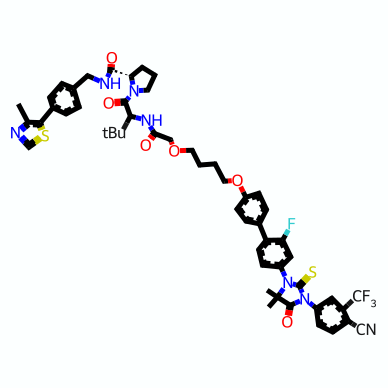 Cc1ncsc1-c1ccc(CNC(=O)[C@@H]2CCCN2C(=O)C(NC(=O)COCCCCOc2ccc(-c3ccc(N4C(=S)N(c5ccc(C#N)c(C(F)(F)F)c5)C(=O)C4(C)C)cc3F)cc2)C(C)(C)C)cc1